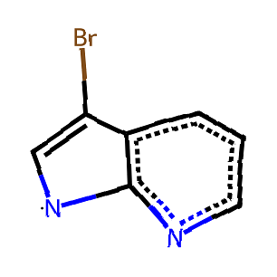 BrC1=C[N]c2ncccc21